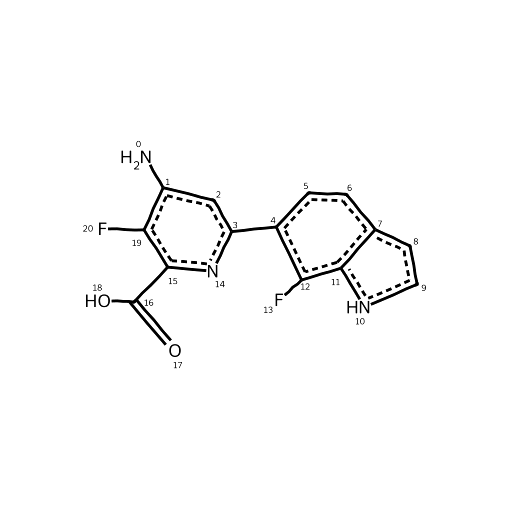 Nc1cc(-c2ccc3cc[nH]c3c2F)nc(C(=O)O)c1F